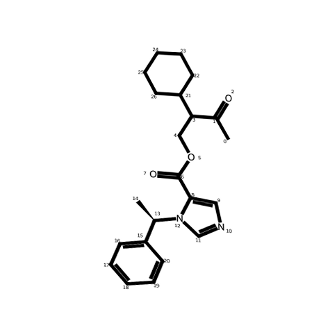 CC(=O)C(COC(=O)c1cncn1[C@H](C)c1ccccc1)C1CCCCC1